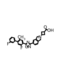 Cc1cc(-c2nc(-c3ccc4c(c3)CN(C3CC(C(=O)O)C3)C4)no2)c(F)cc1-c1cccc(F)c1